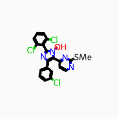 CSc1nccc(-c2c(-c3cccc(Cl)c3)nc(-c3c(Cl)cccc3Cl)n2O)n1